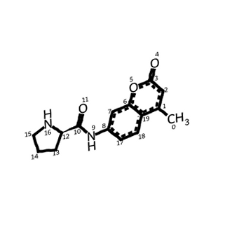 Cc1cc(=O)oc2cc(NC(=O)[C@H]3CCCN3)ccc12